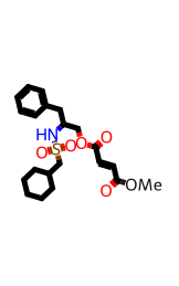 COC(=O)/C=C/C(=O)OCC(Cc1ccccc1)NS(=O)(=O)CC1CCCCC1